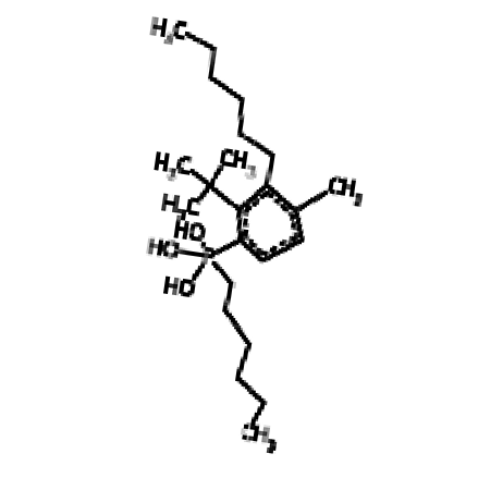 CCCCCCc1c(C)ccc(P(O)(O)(O)CCCCCC)c1C(C)(C)C